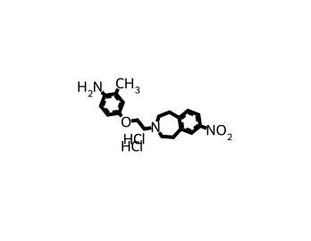 Cc1cc(OCCN2CCc3ccc([N+](=O)[O-])cc3CC2)ccc1N.Cl.Cl